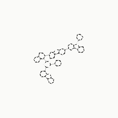 c1ccc(-c2nc(-c3c(-c4ccc5c(c4)oc4cc(-c6ccc7c(c6)c6ccccc6n7-c6ccccc6)ccc45)ccc4ccccc34)nc(-c3cccc4c3oc3ccccc34)n2)cc1